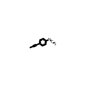 CC#Cc1ccc(N=C=S)cc1